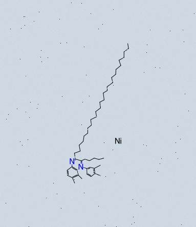 CCCCCCCCCCCCCCCCCCCCCCCCCCCC(=Nc1ccc(C)c(C)c1)C(CCCCC)=Nc1ccc(C)c(C)c1.[Ni]